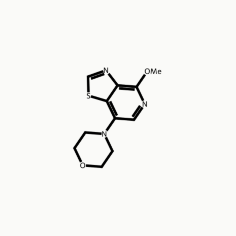 COc1ncc(N2CCOCC2)c2scnc12